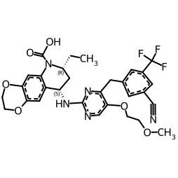 CC[C@@H]1C[C@H](Nc2ncc(OCCOC)c(Cc3cc(C#N)cc(C(F)(F)F)c3)n2)c2cc3c(cc2N1C(=O)O)OCCO3